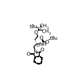 CC(C)(C)OC(=O)N[C@@H](CCO[Si](C)(C)C(C)(C)C)CN1C(=O)c2ccccc2C1=O